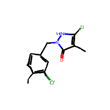 Cc1ccc(Cn2[nH]c(Cl)c(C)c2=O)cc1Cl